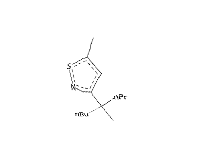 CCCCC(C)(CCC)c1cc(C)sn1